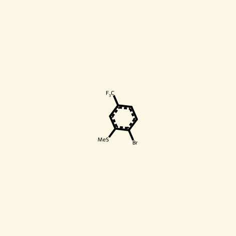 CSc1cc(C(F)(F)F)ccc1Br